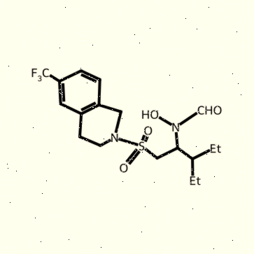 CCC(CC)C(CS(=O)(=O)N1CCc2cc(C(F)(F)F)ccc2C1)N(O)C=O